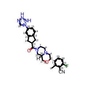 Cc1c([C@H]2CN3CCN(C(=O)C4Cc5ccc(N6C=NNN6)cc5C4)C[C@H]3CO2)ccc(F)c1C#N